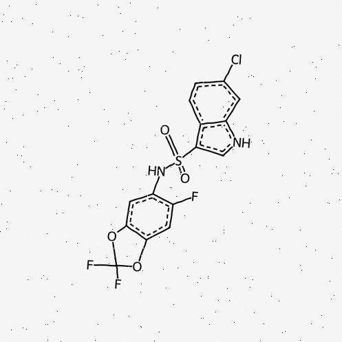 O=S(=O)(Nc1cc2c(cc1F)OC(F)(F)O2)c1c[nH]c2cc(Cl)ccc12